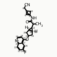 CC(C(=O)NC12CC(CC#N)(C1)C2)C1[C@H]2CC(Oc3ccnc4ccc(F)cc34)C[C@@H]12